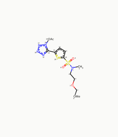 COCOCCN(C)S(=O)(=O)c1ccc(-c2nnnn2OC(C)=O)s1